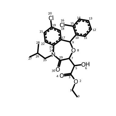 CCOC(=O)C(O)C1OC(c2ccccc2Cl)c2cc(Cl)ccc2N(CC(C)C)C1=O